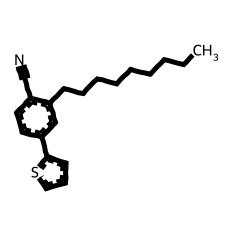 CCCCCCCCCc1cc(-c2cccs2)ccc1C#N